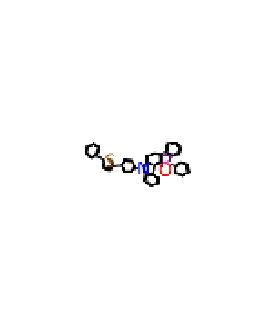 O=P1(c2ccccc2)c2ccccc2-c2ccc3c(c21)c1ccccc1n3-c1ccc(-c2ccc(-c3ccccc3)s2)cc1